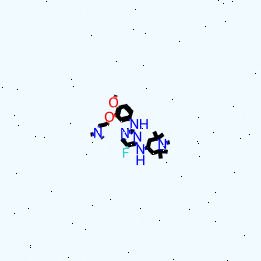 COc1ccc(Nc2ncc(F)c(NC3CC(C)(C)N(C)C(C)(C)C3)n2)cc1OCCN(C)C